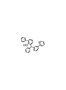 Oc1c(-c2ccccc2)cccc1C(c1ccccc1)c1cccc(-c2ccccn2)c1